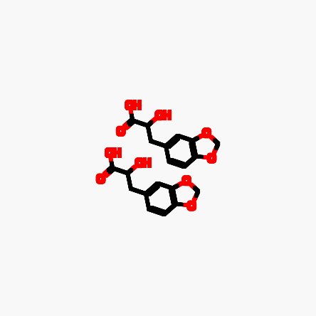 O=C(O)C(O)Cc1ccc2c(c1)OCO2.O=C(O)C(O)Cc1ccc2c(c1)OCO2